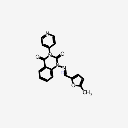 Cc1ccc(/C=N/n2c(=O)n(-c3ccncc3)c(=O)c3ccccc32)o1